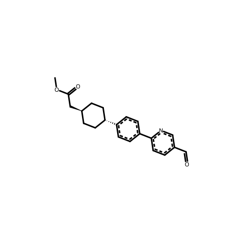 COC(=O)C[C@H]1CC[C@H](c2ccc(-c3ccc(C=O)cn3)cc2)CC1